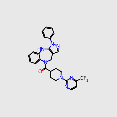 O=C(C1CCN(c2nccc(C(F)(F)F)n2)CC1)N1Cc2cnn(-c3ccccc3)c2Nc2ccccc21